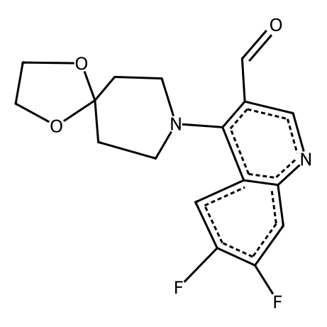 O=Cc1cnc2cc(F)c(F)cc2c1N1CCC2(CC1)OCCO2